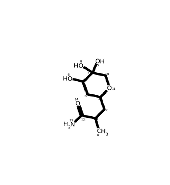 CC(CC1CC(O)C(O)(O)CO1)C(N)=O